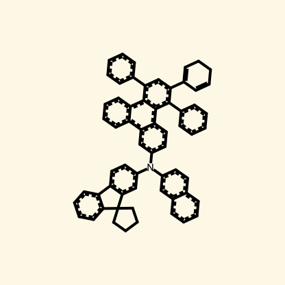 C1=CC(c2cc(-c3ccccc3)c3c4ccccc4c4cc(N(c5ccc6c(c5)C5(CCCC5)c5ccccc5-6)c5ccc6ccccc6c5)ccc4c3c2-c2ccccc2)=CCC1